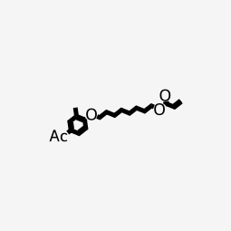 C=CC(=O)OCCCCCCCCOc1ccc(C(C)=O)cc1C